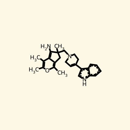 CC1=C(C)C2=C(N)C(C)(CN3CC=C(c4c[nH]c5ccccc45)CC3)CC2=C(C)O1